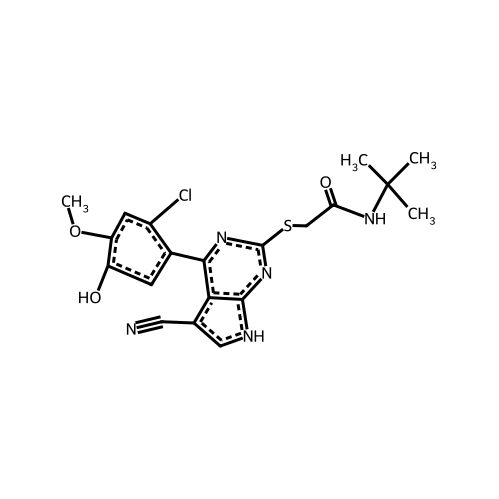 COc1cc(Cl)c(-c2nc(SCC(=O)NC(C)(C)C)nc3[nH]cc(C#N)c23)cc1O